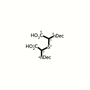 CCCCCCCCCCC(SC(CCCCCCCCCC)C(=O)O)C(=O)O